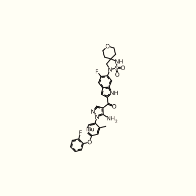 C=C(/C=C(C)\C(=C/C(C)CC)n1ncc(C(=O)c2cc3cc(F)c(N4CC5(CCOCC5)NS4(=O)=O)cc3[nH]2)c1N)Oc1ccccc1F